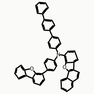 c1ccc(-c2ccc(-c3ccc(N(c4ccc(-c5cccc6c5oc5ccccc56)cc4)c4cccc5c4oc4c6ccccc6ccc54)cc3)cc2)cc1